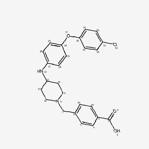 O=C(O)c1ccc(CN2CCC(Nc3ccc(Oc4ccc(Cl)cc4)cc3)CC2)cc1